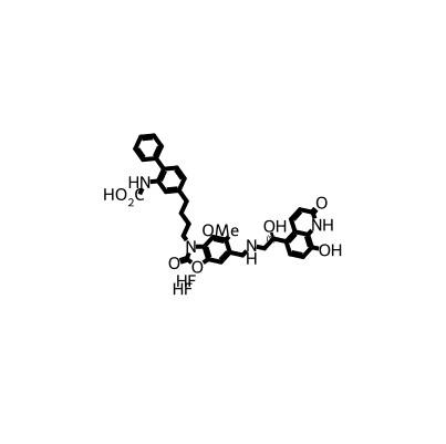 COc1cc2c(cc1CNC[C@@H](O)c1ccc(O)c3[nH]c(=O)ccc13)oc(=O)n2CCCCc1ccc(-c2ccccc2)c(NC(=O)O)c1.F.F